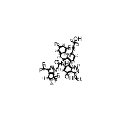 CCNc1nn(C)c2c(-c3ccc(C#CC(C)(C)O)nc3[C@H](Cc3cc(F)cc(F)c3)NC(=O)Cn3nc(C(F)F)c4c3C(F)(F)[C@H](C)[C@@H]4I)ccc(Cl)c12